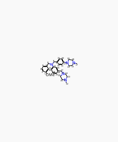 COc1cccc(CN(Cc2ccc(N3CCN(C)CC3)cc2)c2cccc(CN3CCN(C)CC3)c2)c1